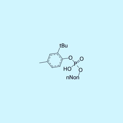 CCCCCCCCCOP(=O)(O)Oc1ccc(C)cc1C(C)(C)C